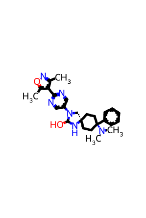 Cc1noc(C)c1-c1ncc(N2C[C@]3(CC[C@](c4ccccc4)(N(C)C)CC3)NC2O)cn1